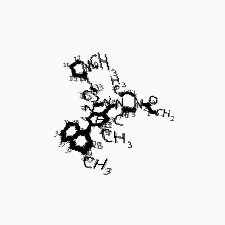 C=CC(=O)N1C[C@H](C)N(c2nc(OC[C@@H]3CCCN3C)nc3c2CC(C)C(c2cc(C)cc4ccccc24)C3)[C@@H](C)C1